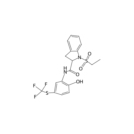 CCS(=O)(=O)N1c2ccccc2CC1C(=O)Nc1cc(SC(F)(F)F)ccc1O